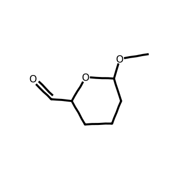 COC1CCCC(C=O)O1